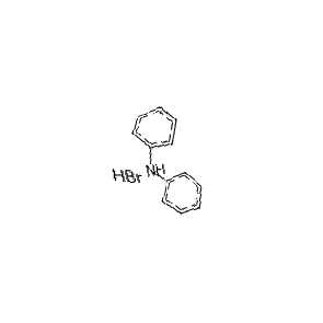 Br.c1ccc(Nc2ccccc2)cc1